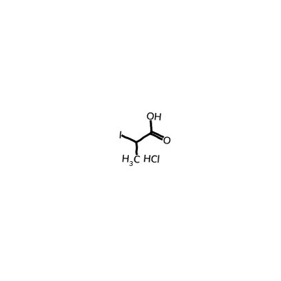 CC(I)C(=O)O.Cl